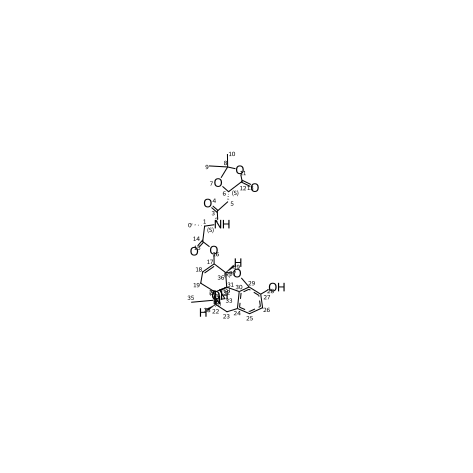 C[C@H](NC(=O)C[C@@H]1OC(C)(C)OC1=O)C(=O)OC1=CC[C@@]2(O)[C@H]3Cc4ccc(O)c5c4[C@@]2(CCN3C)[C@H]1O5